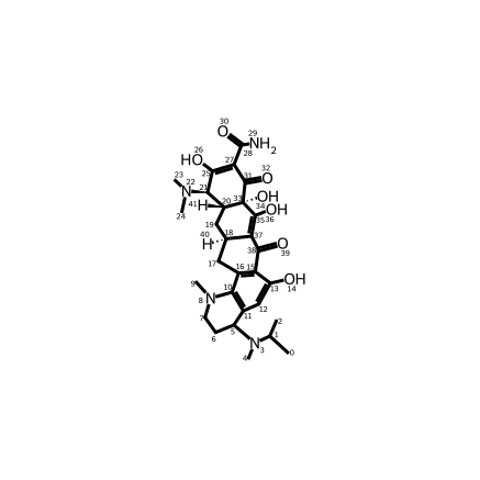 CC(C)N(C)C1CCN(C)c2c1cc(O)c1c2C[C@H]2C[C@@H]3[C@@H](N(C)C)C(O)=C(C(N)=O)C(=O)[C@@]3(O)C(O)=C2C1=O